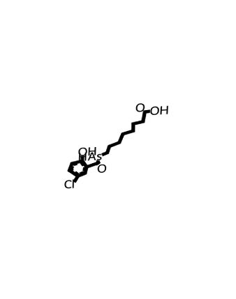 O=C(O)CCCCCCC[AsH]C(=O)c1cc(Cl)ccc1O